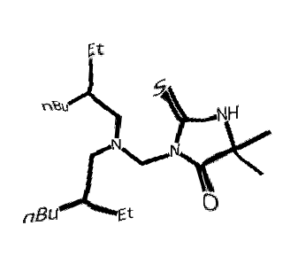 CCCCC(CC)CN(CC(CC)CCCC)CN1C(=O)C(C)(C)NC1=S